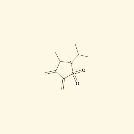 C=C1C(=C)S(=O)(=O)N(C(C)C)C1C